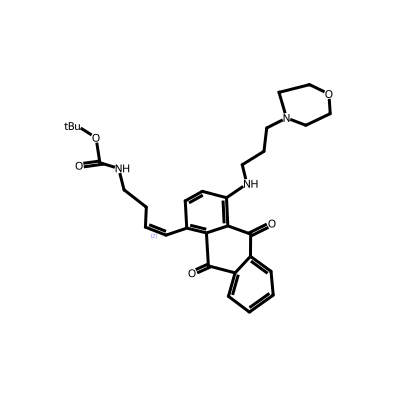 CC(C)(C)OC(=O)NCC/C=C\c1ccc(NCCCN2CCOCC2)c2c1C(=O)c1ccccc1C2=O